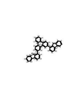 c1ccc2c(c1)Cc1c(-c3ccc4c5ccccc5c5ccc(-c6cccc7c6sc6ccccc67)cc5c4c3)cccc1-2